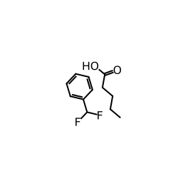 CCCCC(=O)O.FC(F)c1ccccc1